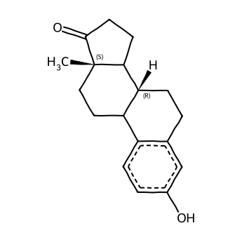 C[C@]12CCC3c4ccc(O)cc4CC[C@H]3C1CCC2=O